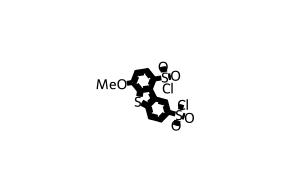 COc1ccc(S(=O)(=O)Cl)c2c1sc1ccc(S(=O)(=O)Cl)cc12